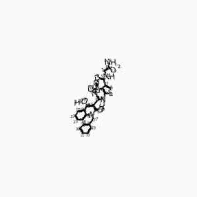 NC(=O)CNC(=O)c1csc2c1S(=O)(=O)N=C(c1c(O)c3ccccc3n(Cc3ccccc3)c1=O)N2